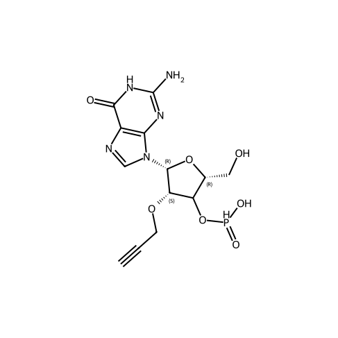 C#CCO[C@H]1C(O[PH](=O)O)[C@@H](CO)O[C@H]1n1cnc2c(=O)[nH]c(N)nc21